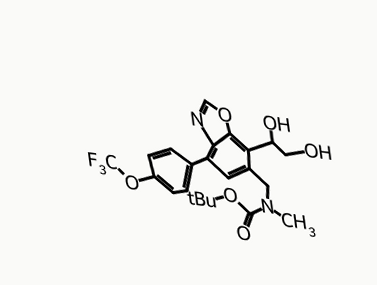 CN(Cc1cc(-c2ccc(OC(F)(F)F)cc2)c2ncoc2c1C(O)CO)C(=O)OC(C)(C)C